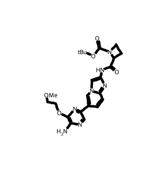 COCCOc1nc(-c2ccc3nc(NC(=O)C4CCN4C(=O)OC(C)(C)C)cn3c2)cnc1N